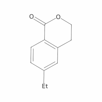 CCc1ccc2c(c1)CCOC2=O